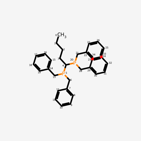 CCCCC(P(Cc1ccccc1)Cc1ccccc1)P(Cc1ccccc1)Cc1ccccc1